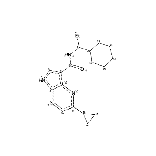 CCC(NC(=O)c1c[nH]c2ncc(C3CC3)nc12)C1CCCCC1